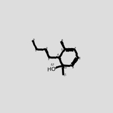 CCCCC1C(C)=CC=CC1(C)O